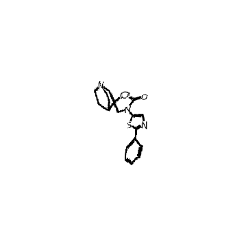 O=C1OC2(CN3CCC2CC3)CN1c1cnc(-c2ccccc2)s1